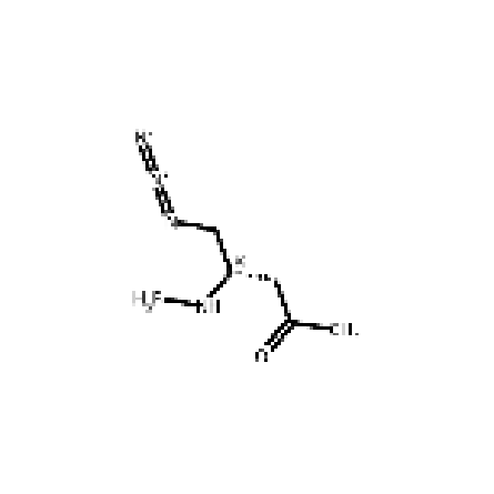 CC(=O)C[C@@H](CN=[N+]=[N-])NP